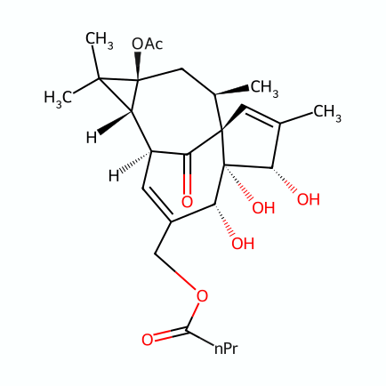 CCCC(=O)OCC1=C[C@@H]2C(=O)[C@]3(C=C(C)[C@H](O)[C@@]3(O)[C@@H]1O)[C@H](C)C[C@]1(OC(C)=O)[C@H]2C1(C)C